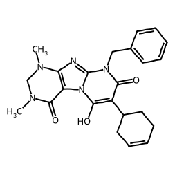 CN1CN(C)c2nc3n(Cc4ccccc4)c(=O)c(C4CC=CCC4)c(O)n3c2C1=O